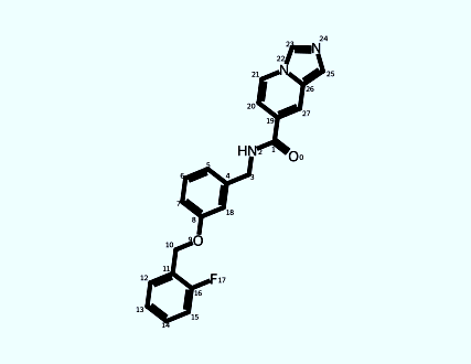 O=C(NCc1cccc(OCc2ccccc2F)c1)c1ccn2cncc2c1